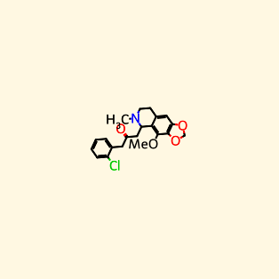 COc1c2c(cc3c1C(CC(=O)Cc1ccccc1Cl)N(C)CC3)OCO2